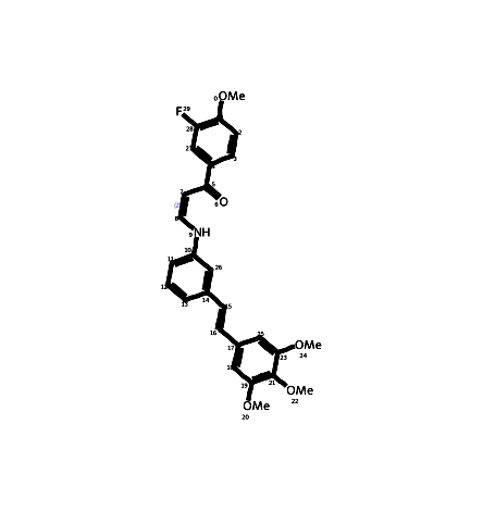 COc1ccc(C(=O)/C=C\Nc2cccc(C=Cc3cc(OC)c(OC)c(OC)c3)c2)cc1F